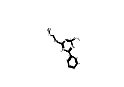 CCOCNc1nc(N)nc(-c2ccccc2)n1